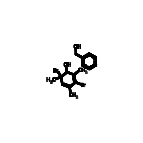 CC1=CC(C)(Br)C(O)C(C)=C1Br.OCc1ccccc1